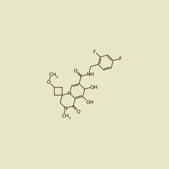 COC1CC2(C1)CN(C)C(=O)C1=C(O)C(O)C(C(=O)NCc3ccc(F)cc3F)=CN12